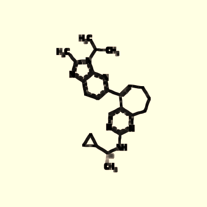 Cc1nc2ccc(C3=CCCCc4nc(N[C@H](C)C5CC5)ncc43)nc2n1C(C)C